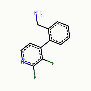 NCc1ccccc1-c1ccnc(F)c1F